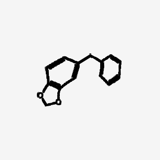 [CH](c1ccccc1)c1ccc2c(c1)OCO2